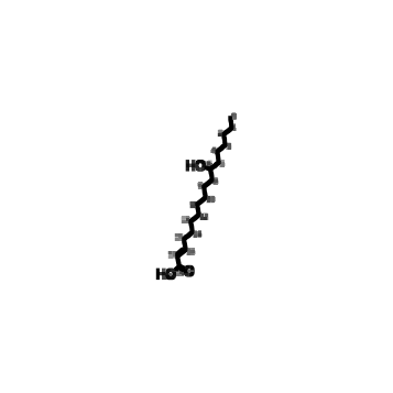 CCCCCCC(O)CCCCCCCCC=CC(=O)O